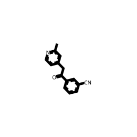 Cc1cc(CC(=O)c2cccc(C#N)c2)ccn1